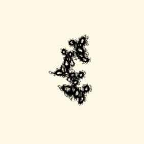 Cc1cc(C)c(B(c2ccc3c(c2)Oc2cc(-n4c5ccccc5c5cc6c7ccccc7n(-c7ccccc7)c6cc54)ccc2N3c2ccccc2)c2ccc3c(c2)Oc2cc(-n4c5ccccc5c5cc6c7ccccc7n(-c7ccccc7)c6cc54)ccc2N3c2ccccc2)c(C)c1